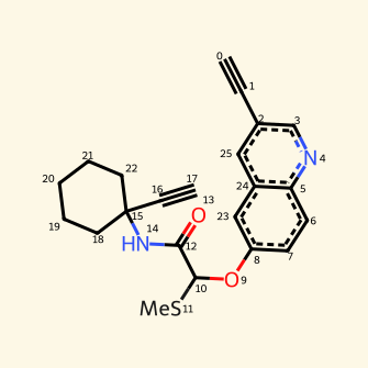 C#Cc1cnc2ccc(OC(SC)C(=O)NC3(C#C)CCCCC3)cc2c1